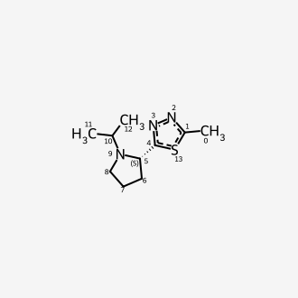 Cc1nnc([C@@H]2CCCN2C(C)C)s1